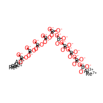 [Al+3].[Al+3].[Al+3].[O-]B([O-])[O-].[O-]B([O-])[O-].[O-]B([O-])[O-].[O-]B([O-])[O-].[O-]B([O-])[O-].[O-]B([O-])[O-].[O-]B([O-])[O-].[O-]B([O-])[O-].[O-]B([O-])[O-].[O-]B([O-])[O-].[Re+7].[Re+7].[Re+7]